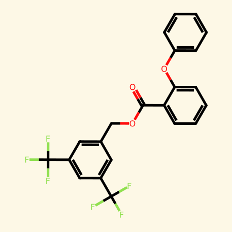 O=C(OCc1cc(C(F)(F)F)cc(C(F)(F)F)c1)c1ccccc1Oc1ccccc1